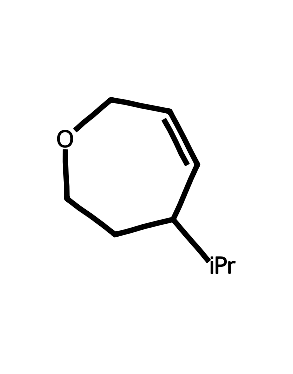 CC(C)C1C=CCOCC1